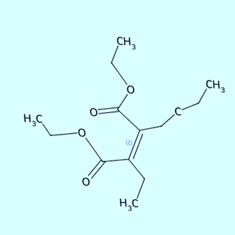 CCCC/C(C(=O)OCC)=C(\CC)C(=O)OCC